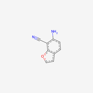 N#Cc1c(N)ccc2ccoc12